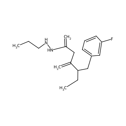 C=C(CC(=C)C(CC)Cc1cccc(F)c1)NNCCC